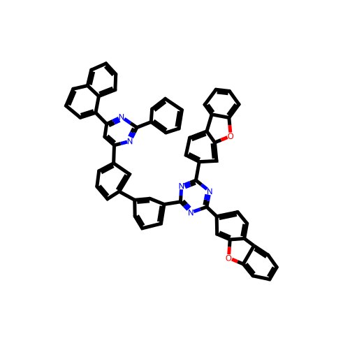 c1ccc(-c2nc(-c3cccc(-c4cccc(-c5nc(-c6ccc7c(c6)oc6ccccc67)nc(-c6ccc7c(c6)oc6ccccc67)n5)c4)c3)cc(-c3cccc4ccccc34)n2)cc1